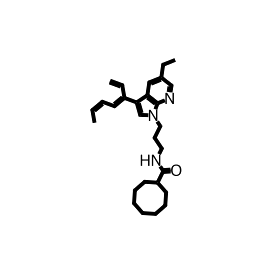 C=C/C(=C\C=C/C)c1cn(CCCNC(=O)C2CCCCCCC2)c2ncc(CC)cc12